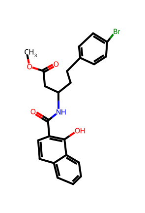 COC(=O)CC(CCc1ccc(Br)cc1)NC(=O)c1ccc2ccccc2c1O